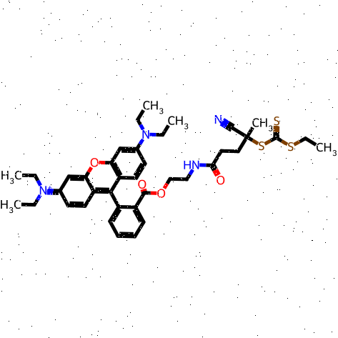 CCSC(=S)SC(C)(C#N)CCC(=O)NCCOC(=O)c1ccccc1-c1c2ccc(=[N+](CC)CC)cc-2oc2cc(N(CC)CC)ccc12